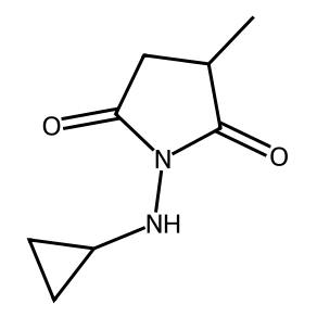 CC1CC(=O)N(NC2CC2)C1=O